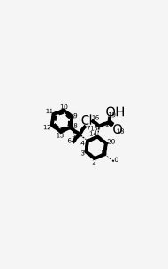 C[C@@H]1CC[C@H](C(C)(C)c2ccccc2)[C@H](C(Cl)C(=O)O)C1